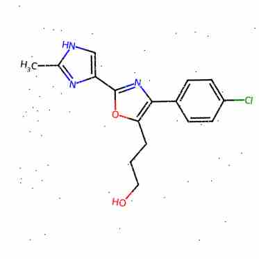 Cc1nc(-c2nc(-c3ccc(Cl)cc3)c(CCCO)o2)c[nH]1